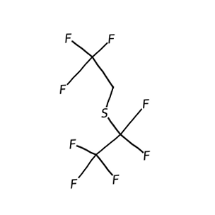 FC(F)(F)CSC(F)(F)C(F)(F)F